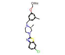 COCOc1cc(C)cc(CN2CCN(c3nc4ccc(Cl)cc4s3)C[C@@H]2C)c1